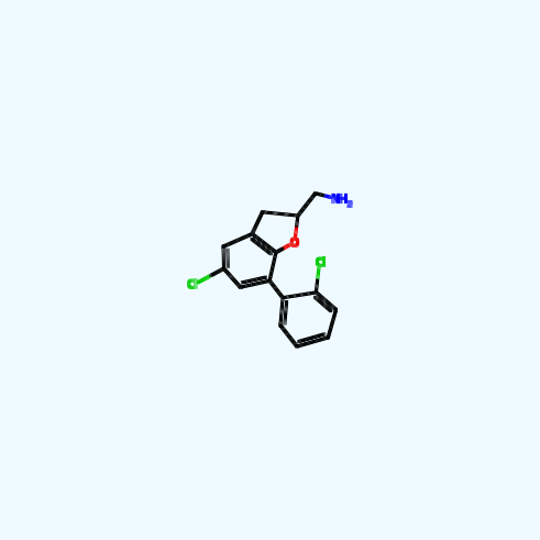 NCC1Cc2cc(Cl)cc(-c3ccccc3Cl)c2O1